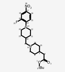 CC(C)(C)OC(=O)CC1CCN(CC2CCN(c3ccc([N+](=O)[O-])cc3F)CC2)CC1